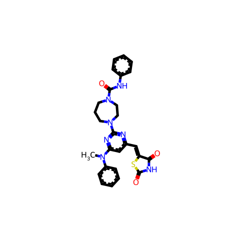 CN(c1ccccc1)c1cc(/C=C2\SC(=O)NC2=O)nc(N2CCCN(C(=O)Nc3ccccc3)CC2)n1